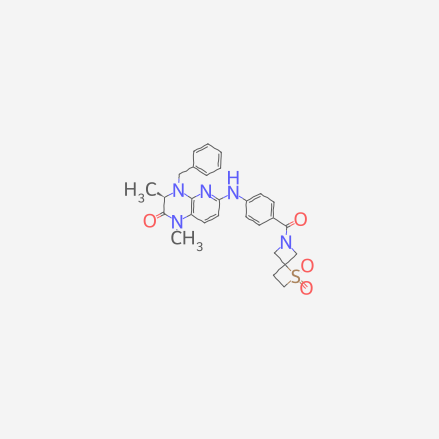 C[C@@H]1C(=O)N(C)c2ccc(Nc3ccc(C(=O)N4CC5(CCS5(=O)=O)C4)cc3)nc2N1Cc1ccccc1